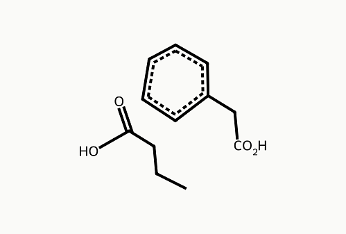 CCCC(=O)O.O=C(O)Cc1ccccc1